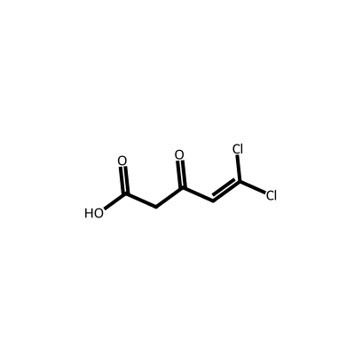 O=C(O)CC(=O)C=C(Cl)Cl